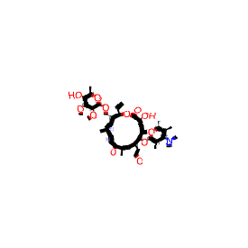 CC[C@H]1OC(=O)[C@@H](O)CC(C)[C@@H](O[C@@H]2O[C@H](C)[C@@H](C)[C@H](N(C)C)[C@H]2C)[C@@H](CC=O)C[C@@H](C)C(=O)/C=C/C(C)=C/[C@@H]1CO[C@@H]1O[C@H](C)[C@@H](O)[C@@H](OC)[C@H]1OC